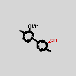 COc1cc(-c2ccc(C)c(O)c2)ccc1C